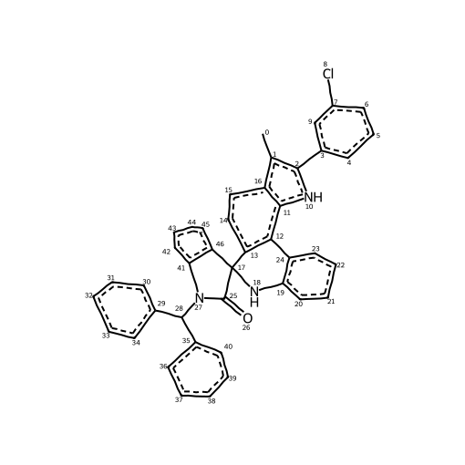 Cc1c(-c2cccc(Cl)c2)[nH]c2c3c(ccc12)C1(Nc2ccccc2-3)C(=O)N(C(c2ccccc2)c2ccccc2)c2ccccc21